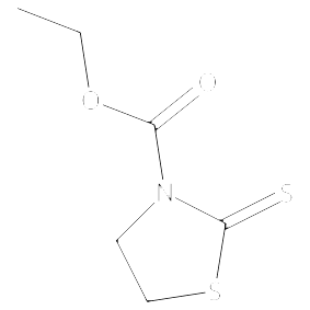 CCOC(=O)N1CCSC1=S